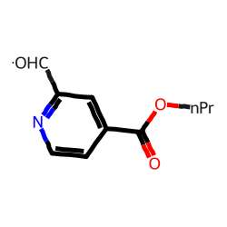 CCCOC(=O)c1ccnc([C]=O)c1